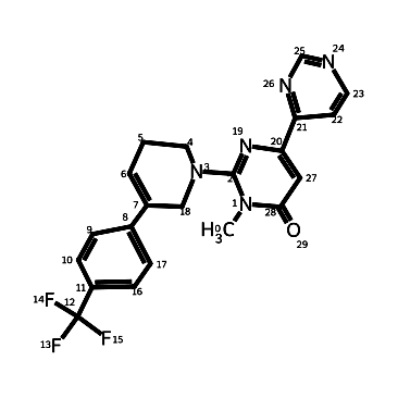 Cn1c(N2CCC=C(c3ccc(C(F)(F)F)cc3)C2)nc(-c2ccncn2)cc1=O